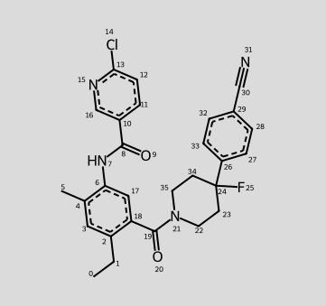 CCc1cc(C)c(NC(=O)c2ccc(Cl)nc2)cc1C(=O)N1CCC(F)(c2ccc(C#N)cc2)CC1